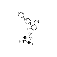 N#Cc1ccc(COC(=O)NC(=N)N)c(F)c1N1CCN(c2ccncc2)CC1